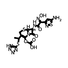 CC(Sc1nnn[nH]1)C1=C(OC(=O)O)N2C(=O)[C@@H](NC(=O)C(=NO)c3cc(N)sn3)[C@@H]2SC1